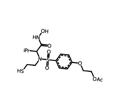 CC(=O)OCCOc1ccc(S(=O)(=O)N(CCS)C(C(=O)NO)C(C)C)cc1